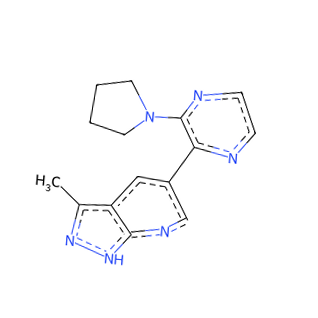 Cc1n[nH]c2ncc(-c3nccnc3N3CCCC3)cc12